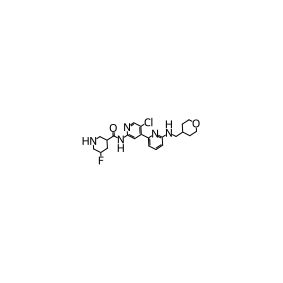 O=C(Nc1cc(-c2cccc(NCC3CCOCC3)n2)c(Cl)cn1)C1CNCC(F)C1